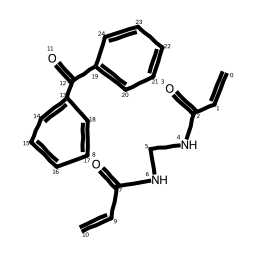 C=CC(=O)NCNC(=O)C=C.O=C(c1ccccc1)c1ccccc1